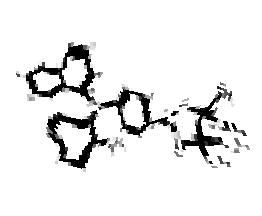 Cc1ccccc1N(c1ccc(B2OC(C)(C)C(C)(C)O2)cc1)c1cccc2ccccc12